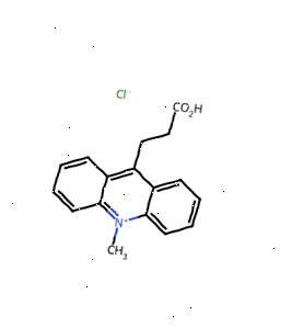 C[n+]1c2ccccc2c(CCC(=O)O)c2ccccc21.[Cl-]